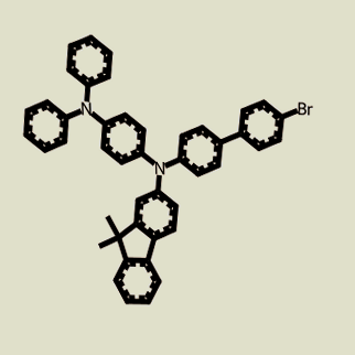 CC1(C)c2ccccc2-c2ccc(N(c3ccc(-c4ccc(Br)cc4)cc3)c3ccc(N(c4ccccc4)c4ccccc4)cc3)cc21